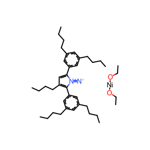 CCCCC1=C(c2cc(CCCC)cc(CCCC)c2)[N+](=[N-])C(c2cc(CCCC)cc(CCCC)c2)=C1.CC[O][Ni][O]CC